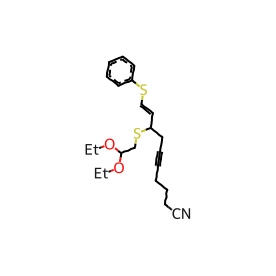 CCOC(CSC(C=CSc1ccccc1)CC#CCCCC#N)OCC